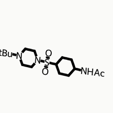 CC(=O)NC1CCC(S(=O)(=O)N2CCN(C(C)(C)C)CC2)CC1